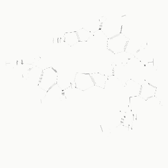 Cc1nnn(Cc2cc(Cl)cnc2COC(=O)N2CC3=C(C2)CN(C(=O)c2ccc(S(N)(=O)=O)cc2F)C3)n1.NS(=O)(=O)c1ccc(C(=O)N2CC3=C(CNC3)C2)c(F)c1